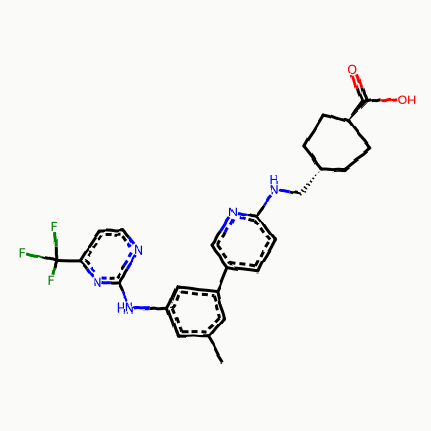 Cc1cc(Nc2nccc(C(F)(F)F)n2)cc(-c2ccc(NC[C@H]3CC[C@H](C(=O)O)CC3)nc2)c1